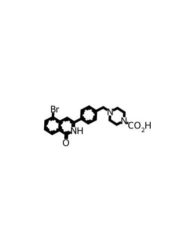 O=C(O)N1CCN(Cc2ccc(-c3cc4c(Br)cccc4c(=O)[nH]3)cc2)CC1